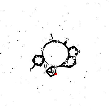 C[C@@H]1COc2ccc(F)cc2[C@]23[C@H](CCN2c2ccn4ncc(c4n2)C(=O)N1)[C@@H]3C